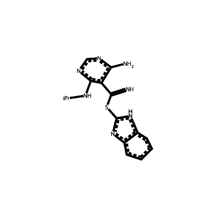 CC(C)Nc1ncnc(N)c1C(=N)Sc1nc2ccccc2[nH]1